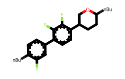 CCCCc1ccc(-c2ccc(C3CCC(CCCC)OC3)c(F)c2F)cc1F